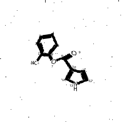 N#Cc1ccccc1OC(=O)c1cc[nH]c1